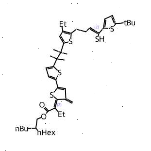 C=c1cc(-c2ccc(C(C)(C)C(C)(C)c3cc(CC)c(CC/C=C(\S)c4ccc(C(C)(C)C)s4)s3)s2)s/c1=C(/CC)C(=O)OCC(CCCC)CCCCCC